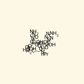 C=CCCC(=O)N(CCC)CC(=O)O[C@H]1[C@@H](O)[C@H](n2cnc3c(N)ncnc32)O[C@@H]1COP(=O)(O)O[C@H]1C[C@H](n2ccc(N)nc2=O)O[C@@H]1COP(=O)(O)O